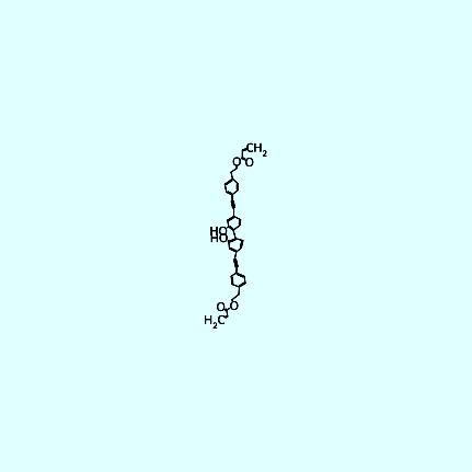 C=CC(=O)OCCc1ccc(C#Cc2ccc(-c3ccc(C#Cc4ccc(CCOC(=O)C=C)cc4)cc3O)c(O)c2)cc1